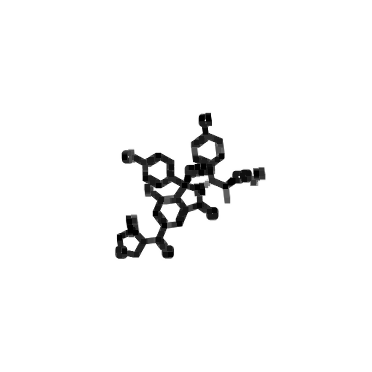 CO[C@]1(c2ccc(Cl)cc2)c2c(F)cc(C(=O)C3COCN3)cc2C(=O)N1[C@H](c1ccc(Cl)cc1)[C@H](C)C(=O)O